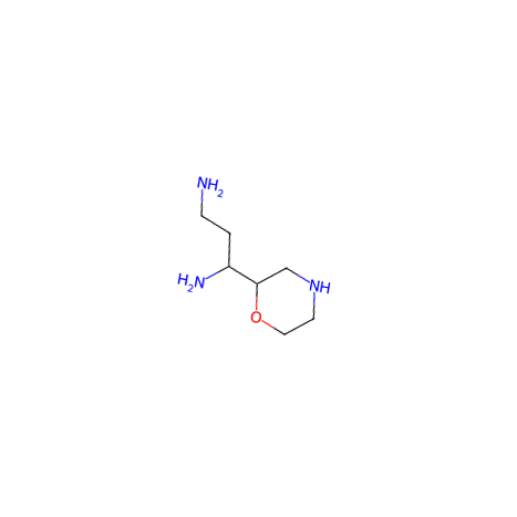 NCCC(N)C1CNCCO1